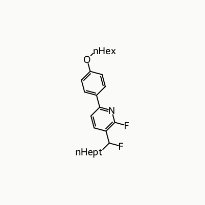 CCCCCCCC(F)c1ccc(-c2ccc(OCCCCCC)cc2)nc1F